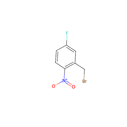 O=[N+]([O-])c1ccc(F)cc1CBr